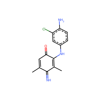 CC1=CC(=O)C(Nc2ccc(N)c(Cl)c2)=C(C)C1=N